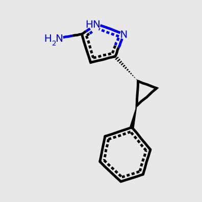 Nc1cc([C@@H]2C[C@H]2c2ccccc2)n[nH]1